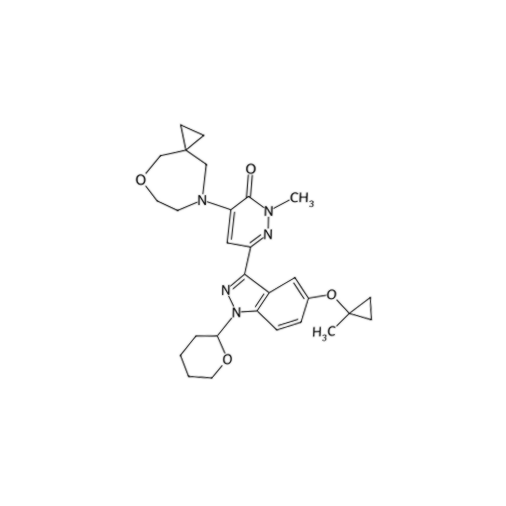 Cn1nc(-c2nn(C3CCCCO3)c3ccc(OC4(C)CC4)cc23)cc(N2CCOCC3(CC3)C2)c1=O